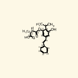 CC(C)c1c(O)cc(/C=C/c2ccccc2)cc1OC(=O)N[C@@H](C)C(=O)O